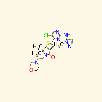 Cn1nccc1Nc1ncc(Cl)c(-c2cc3c(s2)C(C)(C)N(CCN2CCOCC2)C3=O)n1